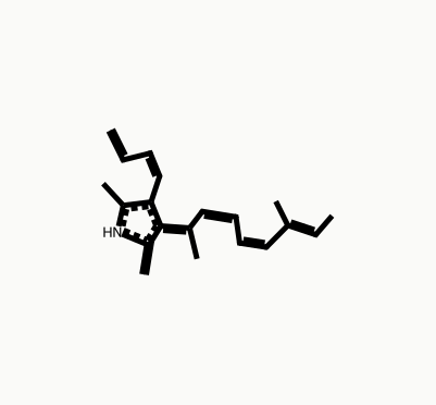 C=C/C=C\c1c(C)[nH]c(=C)/c1=C(C)/C=C\C=C/C(C)=C/C